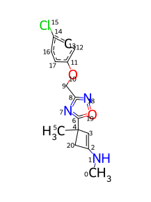 CNC1=CC(C)(c2nc(COc3ccc(Cl)cc3)no2)C1